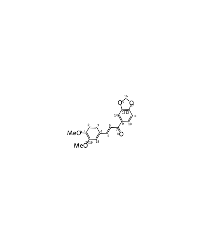 COc1ccc(C=CC(=O)c2ccc3c(c2)OCO3)cc1OC